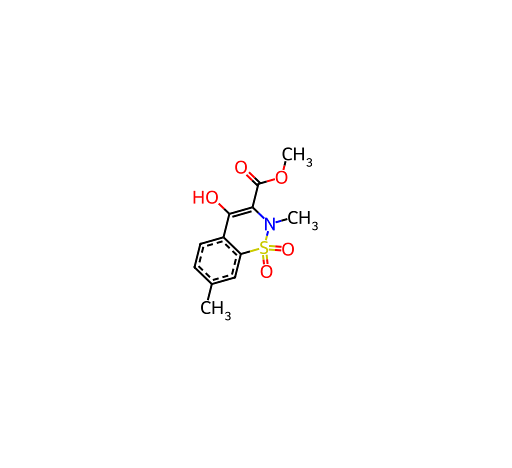 COC(=O)C1=C(O)c2ccc(C)cc2S(=O)(=O)N1C